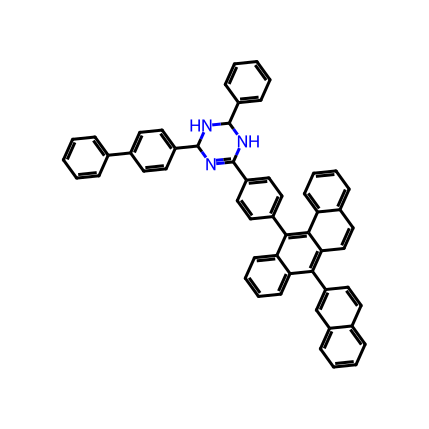 c1ccc(-c2ccc(C3N=C(c4ccc(-c5c6ccccc6c(-c6ccc7ccccc7c6)c6ccc7ccccc7c56)cc4)NC(c4ccccc4)N3)cc2)cc1